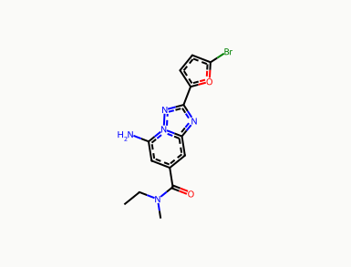 CCN(C)C(=O)c1cc(N)n2nc(-c3ccc(Br)o3)nc2c1